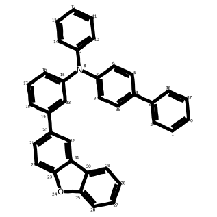 c1ccc(-c2ccc(N(c3ccccc3)c3cccc(-c4ccc5oc6ccccc6c5c4)c3)cc2)cc1